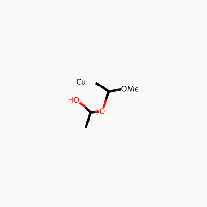 COC(C)OC(C)O.[Cu]